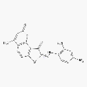 Cc1cc(=O)oc2c3c(ccc12)O/C(=N/Nc1ccc([N+](=O)[O-])cc1[N+](=O)[O-])C3=O